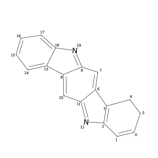 C1=CC2=C(CC1)c1cc3c(cc1=N2)-c1ccccc1N=3